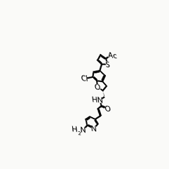 CC(=O)c1ccc(-c2cc(Cl)c3c(c2)C[C@H](CNC(=O)/C=C/c2ccc(N)nc2)O3)s1